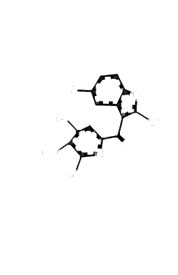 CCc1oc2ccc(F)cc2c1C(=O)c1cc(Br)c(O)c(Br)n1